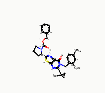 COc1ccc(Cn2c(C3(C#N)CC3)nc3sc([C@H]4CCCN4C(=O)OCc4ccccc4)nc3c2=O)c(OC)c1